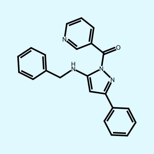 O=C(c1cccnc1)n1nc(-c2ccccc2)cc1NCc1ccccc1